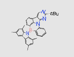 Cc1cc(C)c2c(c1)c1cc(C)cc(C)c1n2B1c2ccccc2-n2c3nc(C(C)(C)C)ncc3c3cccc1c32